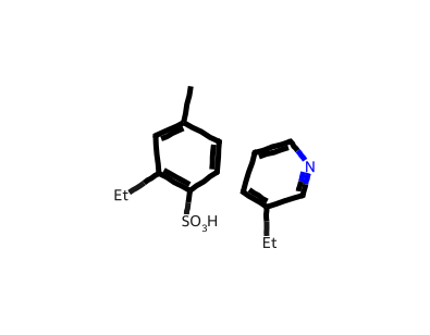 CCc1cc(C)ccc1S(=O)(=O)O.CCc1cccnc1